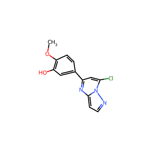 COc1ccc(-c2cc(Cl)n3nccc3n2)cc1O